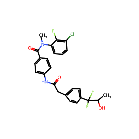 CC(O)C(F)(F)c1ccc(CC(=O)Nc2ccc(C(=O)N(C)c3cccc(Cl)c3F)cc2)cc1